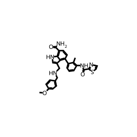 COc1ccc(CNCc2c[nH]c3c(C(N)=O)ccc(-c4cccc(NC(=O)c5nccs5)c4C)c23)cc1